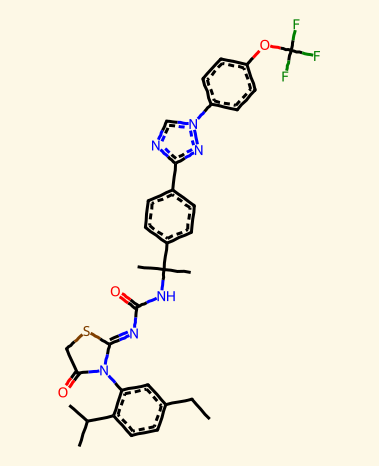 CCc1ccc(C(C)C)c(N2C(=O)CS/C2=N\C(=O)NC(C)(C)c2ccc(-c3ncn(-c4ccc(OC(F)(F)F)cc4)n3)cc2)c1